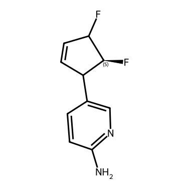 Nc1ccc(C2C=CC(F)[C@H]2F)cn1